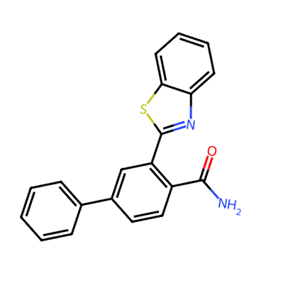 NC(=O)c1ccc(-c2ccccc2)cc1-c1nc2ccccc2s1